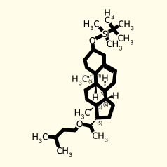 CC(C)CCOC(C)[C@H]1CC[C@H]2[C@@H]3CC=C4CC(O[Si](C)(C)C(C)(C)C)CC[C@]4(C)[C@H]3CC[C@]12C